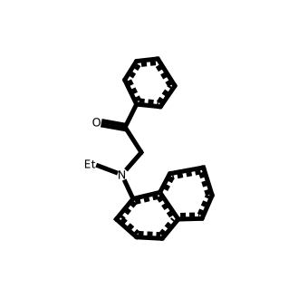 CCN(CC(=O)c1ccccc1)c1cccc2ccccc12